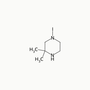 CC1(C)CN(I)CCN1